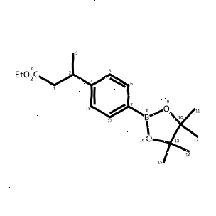 CCOC(=O)CC(C)c1ccc(B2OC(C)(C)C(C)(C)O2)cc1